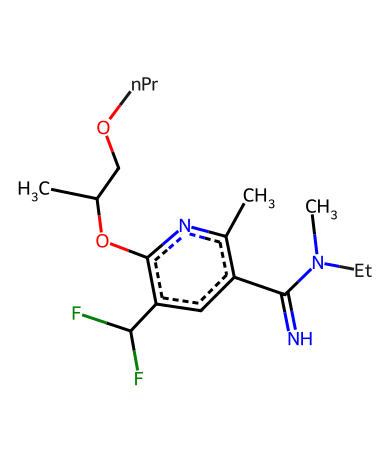 CCCOCC(C)Oc1nc(C)c(C(=N)N(C)CC)cc1C(F)F